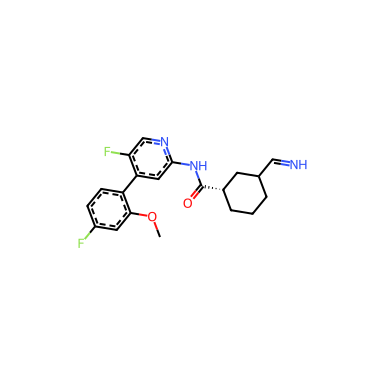 COc1cc(F)ccc1-c1cc(NC(=O)[C@H]2CCCC(C=N)C2)ncc1F